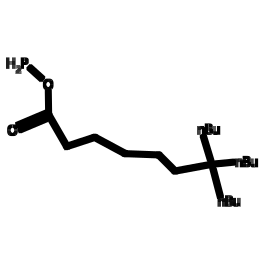 CCCCC(CCCC)(CCCC)CCCCCC(=O)OP